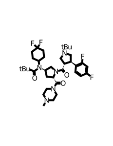 CN1CCN(C(=O)[C@@H]2C[C@H](N(C(=O)C(C)(C)C)C3CCC(F)(F)CC3)CN2C(=O)[C@@H]2CN(C(C)(C)C)C[C@H]2c2ccc(F)cc2F)CC1